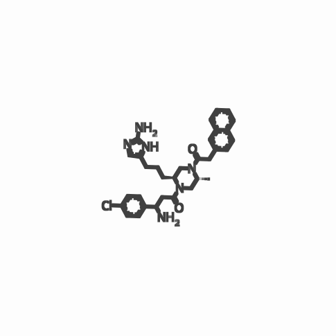 C[C@@H]1CN(C(=O)CC(N)c2ccc(Cl)cc2)[C@@H](CCCc2cnc(N)[nH]2)CN1C(=O)Cc1ccc2ccccc2c1